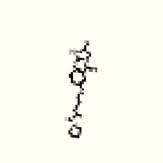 O=C1Cn2c(nc3ccc(OCCCC(=O)NN4CCCC4)cc3c2=O)N1